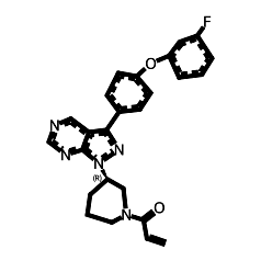 C=CC(=O)N1CCC[C@@H](n2nc(-c3ccc(Oc4cccc(F)c4)cc3)c3cncnc32)C1